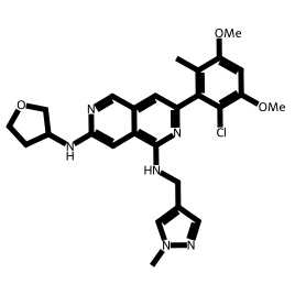 COc1cc(OC)c(Cl)c(-c2cc3cnc(NC4CCOC4)cc3c(NCc3cnn(C)c3)n2)c1C